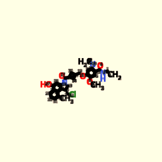 C=CNC(=O)c1cc(OC)c(OCC23CC(C(=O)N4C[C@@H](CCl)c5c4cc(O)c4cccc(C)c54)(C2)C3)cc1N=C